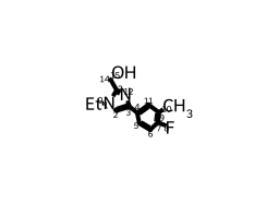 CCn1cc(-c2ccc(F)c(C)c2)nc1CO